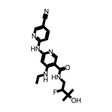 CCNc1cc(Nc2ccc(C#N)cn2)ncc1C(=O)NCC(F)C(C)(C)O